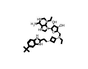 CCN1CNC(N)C2NCN([C@@H]3O[C@H](CN(CC)[C@H]4C[C@@H](CCC5Nc6ccc(C(C)(C)C)cc6N5)C4)[C@@H](O)[C@H]3O)C21